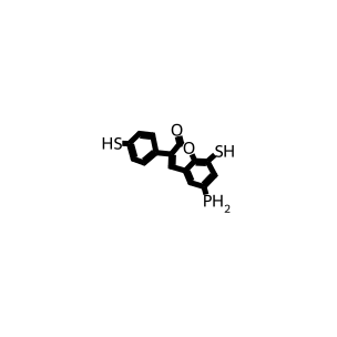 O=c1oc2c(S)cc(P)cc2cc1-c1ccc(S)cc1